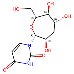 O=c1ccn([C@@H]2O[C@H](CO)[C@@H](O)[C@H](O)C[C@H]2O)c(=O)[nH]1